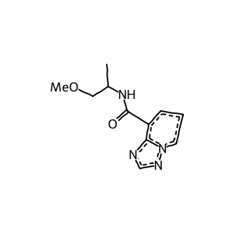 COCC(C)NC(=O)c1cccn2ncnc12